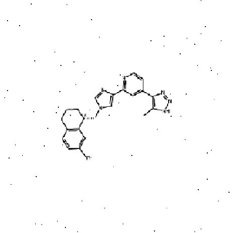 Cc1[nH]nnc1-c1ccnc(-c2cn(C[C@H]3CCCc4ccc(C(C)C)cc43)cn2)c1